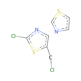 ClCc1cnc(Cl)s1.c1cscn1